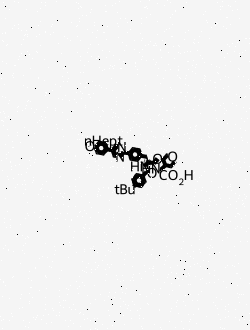 CCCCCCCOc1ccc(-c2cnc(-c3ccc(C[C@H](NC(=O)c4ccc(C(C)(C)C)cc4)C(=O)NC(C(=O)O)C4CCOCC4)cc3)nc2)cc1